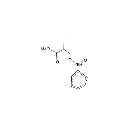 COC(=O)C(C)CO[PH](=O)c1ccccc1